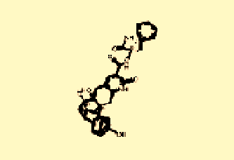 NC(=O)[C@H](Cc1ccccc1)NC(=O)c1cc2c([nH]c1=O)C[C@]13CC4C(c5ccc(O)cc51)N(CC1CC1)[C@H]4C3(O)C2